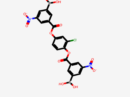 O=C(Oc1ccc(OC(=O)c2cc(B(O)O)cc([N+](=O)[O-])c2)c(Cl)c1)c1cc(B(O)O)cc([N+](=O)[O-])c1